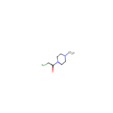 O=C(O)N1CCN(C(=O)CBr)CC1